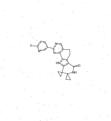 O=C1NC2(CC2)C2(CC2)c2[nH]c3c(c21)CCc1cnc(-c2ccc(F)nc2)cc1-3